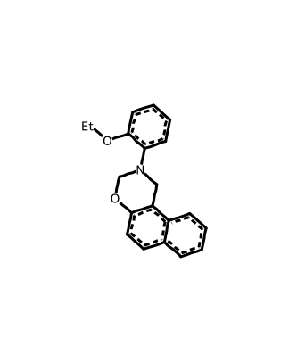 CCOc1ccccc1N1COc2ccc3ccccc3c2C1